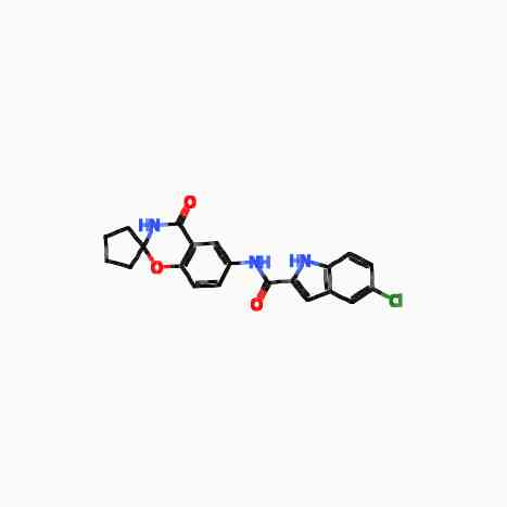 O=C(Nc1ccc2c(c1)C(=O)NC1(CCCC1)O2)c1cc2cc(Cl)ccc2[nH]1